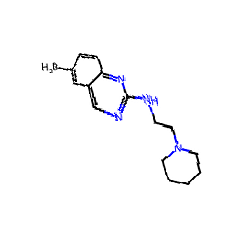 Bc1ccc2nc(NCCN3CCCCC3)ncc2c1